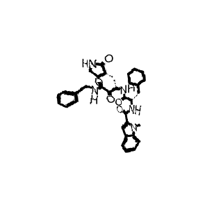 Cn1c(C(=O)N[C@@H](CC2CCCCC2)C(=O)N[C@@H](C[C@@H]2CCNC2=O)C(=O)C(=O)NCc2ccccc2)cc2ccccc21